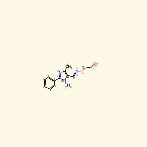 Cc1nc(-c2ccccc2)n(C)c1/C=N/OCCO